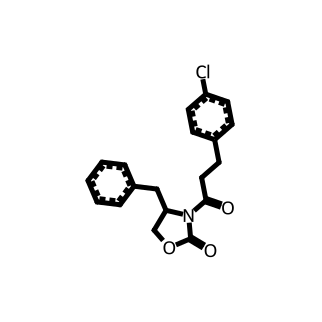 O=C(CCc1ccc(Cl)cc1)N1C(=O)OCC1Cc1ccccc1